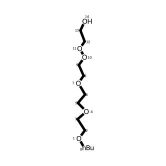 CCCCOCCOCCOCCOOCCO